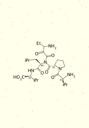 CCC(N)C(=O)C(=O)N(C(=O)[C@@H]1CCCN1C(=O)[C@@H](N)C(C)C)[C@H](CC(C)C)C(=O)N[C@H](C(=O)O)C(C)C